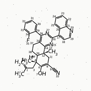 C=C(C)C[C@@]1(C)C(O)=C(C#N)C[C@@]2(C)c3nc(-c4ccnc5ccccc45)nc(-c4ccccc4F)c3CC[C@H]12